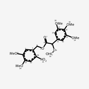 COc1cc(COC(=O)C(O[C]=O)c2cc(OC)c(OC)c(OC)c2)c([N+](=O)[O-])cc1OC